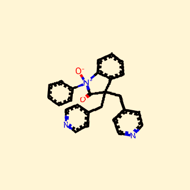 O=C1C(Cc2ccncc2)(Cc2ccncc2)c2ccccc2[N+]1([O-])c1ccccc1